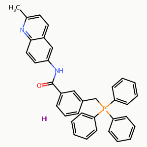 Cc1ccc2cc(NC(=O)c3cccc(C[P](c4ccccc4)(c4ccccc4)c4ccccc4)c3)ccc2n1.I